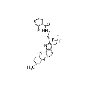 CN1CC[C@@H](Nc2cccc3c(CC(F)(F)F)c(C#CCNC(=O)c4ccccc4F)nn23)[C@@H](F)C1